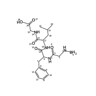 BNCC(=O)NC(Cc1ccccc1)C(=O)NC(CC(C)C)C(=O)NCC(=O)O